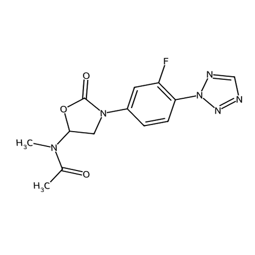 CC(=O)N(C)C1CN(c2ccc(-n3ncnn3)c(F)c2)C(=O)O1